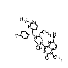 CC[C@@H]1CN(c2cc(=O)n(C)c3ccc(C#N)nc23)[C@@H](C)CN1C(c1ccc(F)cc1)c1ccnc(C)n1